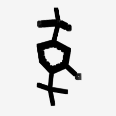 CC(C)(C)c1ccc(S(C)(=O)=O)cc1Cl